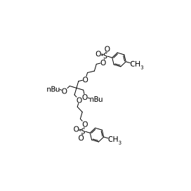 CCCCOCC(COCCCC)(COCCCOS(=O)(=O)c1ccc(C)cc1)COCCCOS(=O)(=O)c1ccc(C)cc1